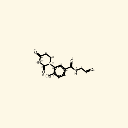 O=CCNC(=O)c1ccc(Cl)c(N2CCC(=O)NC2=O)c1